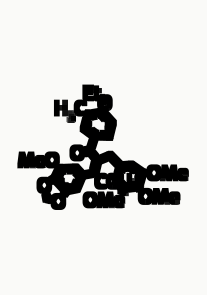 CCOc1ccc(C(=O)C(Cc2cc(OC)c(OC)c(OC)c2)=C(C(=O)O)c2cc(OC)c3c(c2)OCO3)cc1C